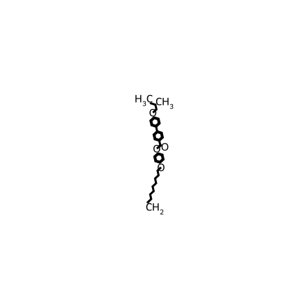 C=CCCCCCCCCOc1ccc(OC(=O)c2ccc(-c3ccc(OC[C@@H](C)CC)cc3)cc2)cc1